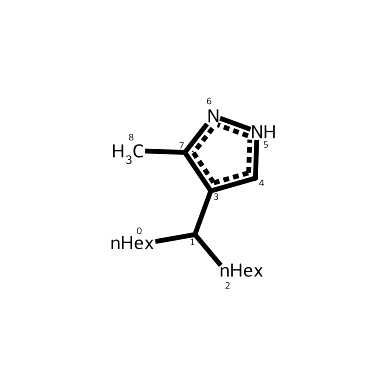 CCCCCCC(CCCCCC)c1c[nH]nc1C